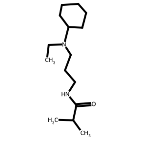 CCN(CCCNC(=O)C(C)C)C1CCCCC1